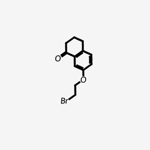 O=C1CCCc2ccc(OCCBr)cc21